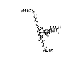 CCCCCC/C=C\CCCCCCCCCC(=O)O[C@H](COC(=O)CCCCCCCCCCCCCCC)COP(=O)(O)OC[C@H](N)C(=O)O